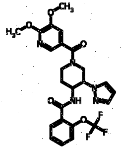 COc1cc(C(=O)N2CCC(NC(=O)c3ccccc3OC(F)(F)F)C(n3cccn3)C2)cnc1OC